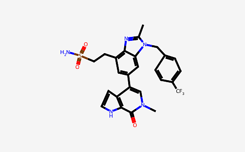 Cc1nc2c(CCS(N)(=O)=O)cc(-c3cn(C)c(=O)c4[nH]ccc34)cc2n1Cc1ccc(C(F)(F)F)cc1